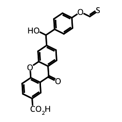 O=C(O)c1ccc2oc3cc(C(O)c4ccc(OC=S)cc4)ccc3c(=O)c2c1